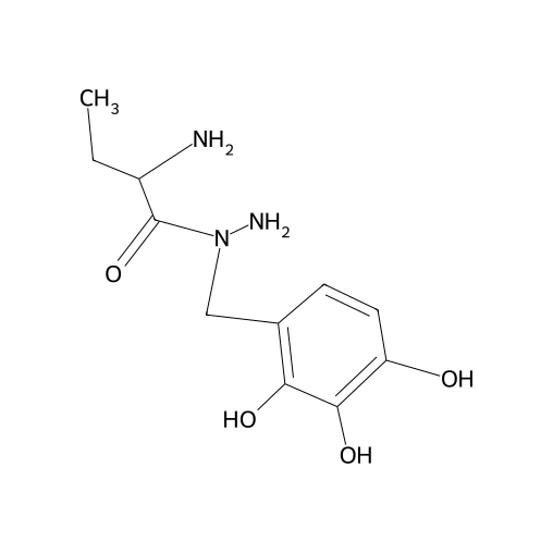 CCC(N)C(=O)N(N)Cc1ccc(O)c(O)c1O